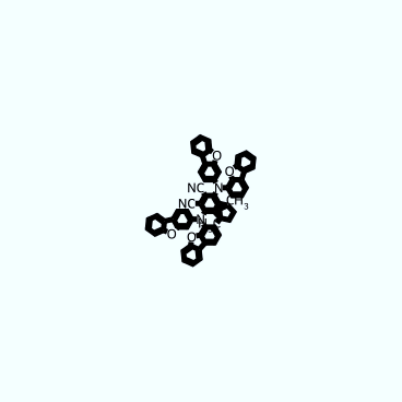 CC12CCC(C)(C1)c1c(N(c3ccc4c(c3)oc3ccccc34)c3cccc4c3oc3ccccc34)c(C#N)c(C#N)c(N(c3ccc4c(c3)oc3ccccc34)c3cccc4c3oc3ccccc34)c12